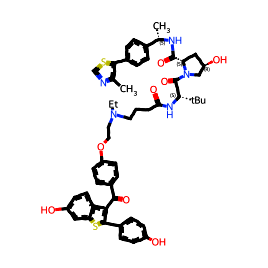 CCN(CCCC(=O)N[C@H](C(=O)N1C[C@H](O)C[C@H]1C(=O)N[C@@H](C)c1ccc(-c2scnc2C)cc1)C(C)(C)C)CCOc1ccc(C(=O)c2c(-c3ccc(O)cc3)sc3cc(O)ccc23)cc1